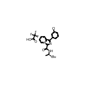 C[C@@H](NC(=O)c1nc(-c2cccc(Cl)c2)c2ccccn12)C(C)(C)C.O=C(O)C(F)(F)F